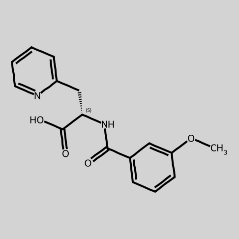 COc1cccc(C(=O)N[C@@H](Cc2ccccn2)C(=O)O)c1